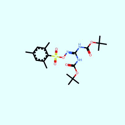 Cc1cc(C)c(S(=O)(=O)ON=C(NC(=O)OC(C)(C)C)NC(=O)OC(C)(C)C)c(C)c1